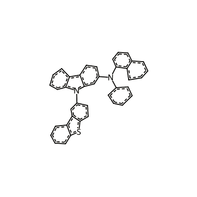 c1ccc(N(c2ccc3c4ccccc4n(-c4ccc5sc6ccccc6c5c4)c3c2)c2cccc3ccccc23)cc1